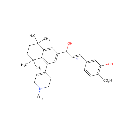 CN1CC=C(c2cc(C(O)/C=C/c3ccc(C(=O)O)c(O)c3)cc3c2C(C)(C)CCC3(C)C)CC1